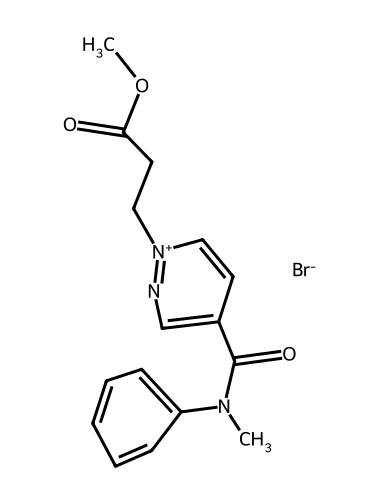 COC(=O)CC[n+]1ccc(C(=O)N(C)c2ccccc2)cn1.[Br-]